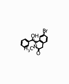 CN1C(=O)Cc2ccc(Br)cc2[C@@H]1[C@H](O)c1ccccc1